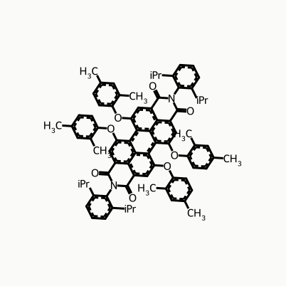 Cc1ccc(Oc2cc3c4c(cc(Oc5ccc(C)cc5C)c5c6c(Oc7ccc(C)cc7C)cc7c8c(cc(Oc9ccc(C)cc9C)c(c2c45)c86)C(=O)N(c2c(C(C)C)cccc2C(C)C)C7=O)C(=O)N(c2c(C(C)C)cccc2C(C)C)C3=O)c(C)c1